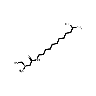 CC(C)CCCCCCCCCCNC(=O)CN(C)CS